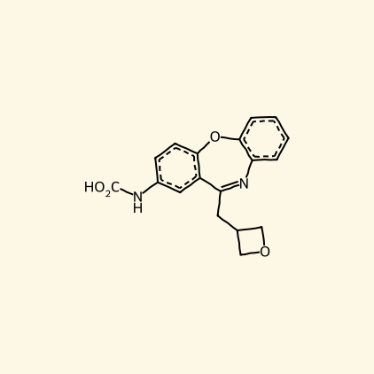 O=C(O)Nc1ccc2c(c1)C(CC1COC1)=Nc1ccccc1O2